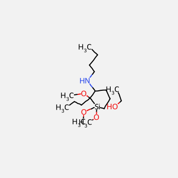 CCCCNC1CCC[Si](OC)(OC)C1(CCC)OC.CCO